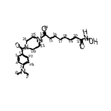 CN(C)c1ccc(C(=O)N2CCN(C(=O)CCCCCCC(=O)NO)CC2)cc1